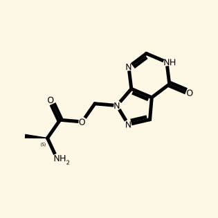 C[C@H](N)C(=O)OCn1ncc2c(=O)[nH]cnc21